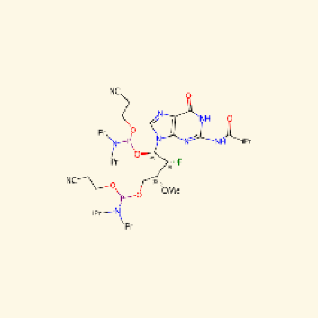 CO[C@H](COP(OCCC#N)N(C(C)C)C(C)C)[C@@H](F)[C@@H](OP(OCCC#N)N(C(C)C)C(C)C)n1cnc2c(=O)[nH]c(NC(=O)C(C)C)nc21